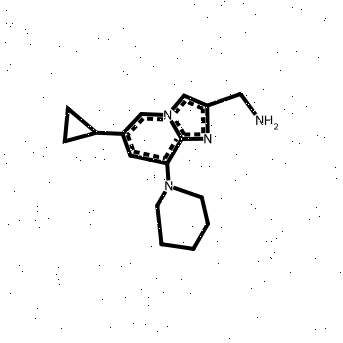 NCc1cn2cc(C3CC3)cc(N3CCCCC3)c2n1